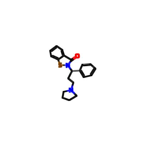 O=c1c2ccccc2sn1C(CCN1CCCC1)c1ccccc1